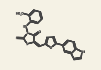 O=C(O)c1ccccc1NN1C(=O)C(=Cc2ccc(-c3ccc4[nH]ccc4c3)o2)SC1=S